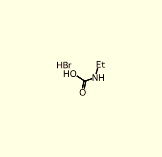 Br.CCNC(=O)O